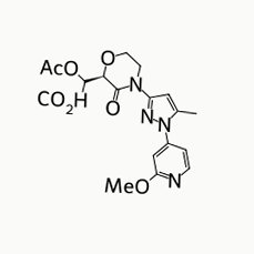 COc1cc(-n2nc(N3CCO[C@H](C(OC(C)=O)C(=O)O)C3=O)cc2C)ccn1